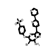 CS(=O)(=O)c1ccc(Oc2nc3c(-c4ccc(-c5cccnc5)nc4)cnn3c(N)c2Br)cc1